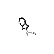 CN(N)c1nc2cccnc2s1